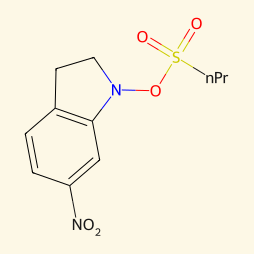 CCCS(=O)(=O)ON1CCc2ccc([N+](=O)[O-])cc21